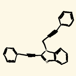 C(#Cc1ccccc1)Cn1c(C#Cc2ccccc2)nc2ccccc21